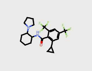 O=C(NC1CCCCC1N1CCCC1)c1c(C2CC2)cc(C(F)(F)F)cc1C(F)(F)F